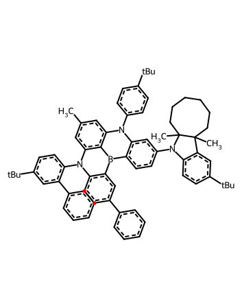 Cc1cc2c3c(c1)N(c1ccc(C(C)(C)C)cc1-c1ccccc1)c1ccc(-c4ccccc4)cc1B3c1ccc(N3c4ccc(C(C)(C)C)cc4C4(C)CCCCCCC34C)cc1N2c1ccc(C(C)(C)C)cc1